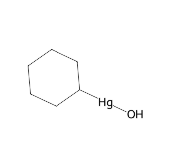 [OH][Hg][CH]1CCCCC1